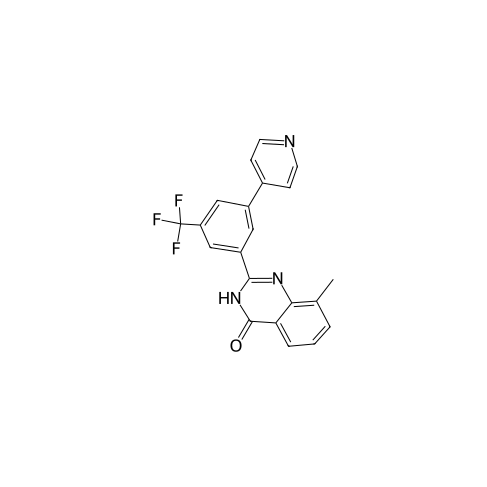 Cc1cccc2c(=O)[nH]c(-c3cc(-c4ccncc4)cc(C(F)(F)F)c3)nc12